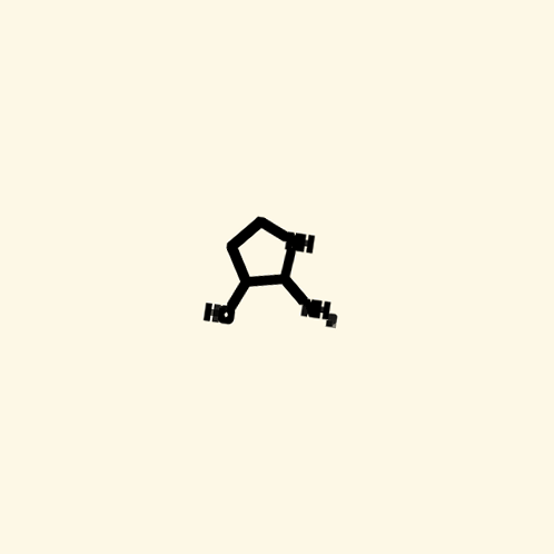 NC1NCCC1O